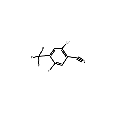 N#Cc1cc(F)c(C(F)(F)F)cc1Br